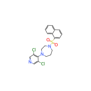 O=S(=O)(c1cccc2ccccc12)N1CCCN(c2c(Cl)cncc2Cl)CC1